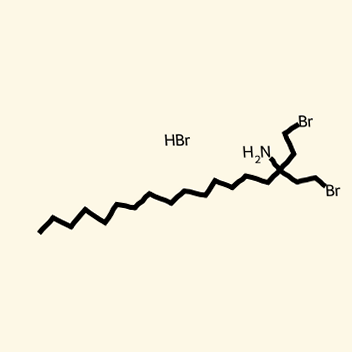 Br.CCCCCCCCCCCCCCCC(N)(CCBr)CCBr